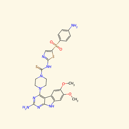 COc1cc2[nH]c3nc(N)nc(N4CCN(C(=S)Nc5ncc(S(=O)(=O)c6ccc(N)cc6)s5)CC4)c3c2cc1OC